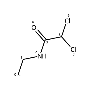 [CH2]CNC(=O)C(Cl)Cl